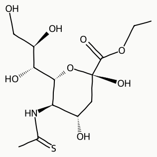 CCOC(=O)[C@]1(O)C[C@H](O)[C@@H](NC(C)=S)[C@H]([C@H](O)[C@H](O)CO)O1